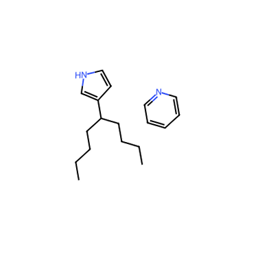 CCCCC(CCCC)c1cc[nH]c1.c1ccncc1